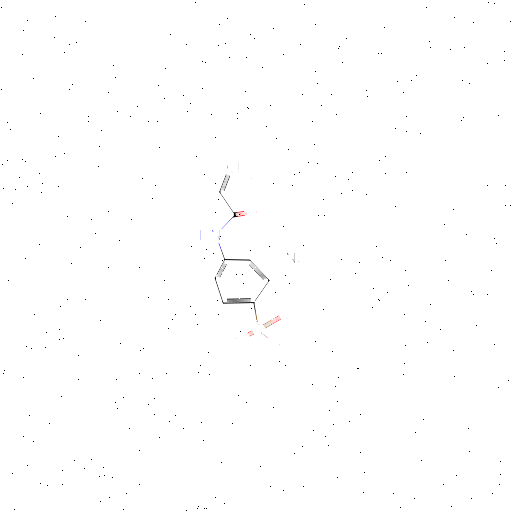 C=CC(=O)Nc1ccc(S(=O)(=O)[O-])cc1.[Na+]